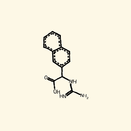 N=C(N)NC(C(=O)O)c1ccc2ccccc2c1